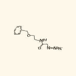 [N-]=[N+]=NCC(=O)NCCOCc1ccccc1